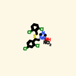 Clc1ccc(C(Cn2cncn2)SCc2c(Cl)cccc2Cl)c(Cl)c1.O=[N+]([O-])O